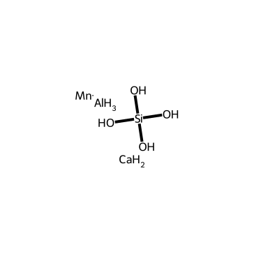 O[Si](O)(O)O.[AlH3].[CaH2].[Mn]